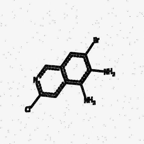 Nc1c(Br)cc2cnc(Cl)cc2c1N